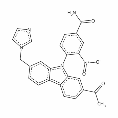 CC(=O)c1ccc2c3ccc(Cn4ccnc4)cc3n(-c3ccc(C(N)=O)cc3[N+](=O)[O-])c2c1